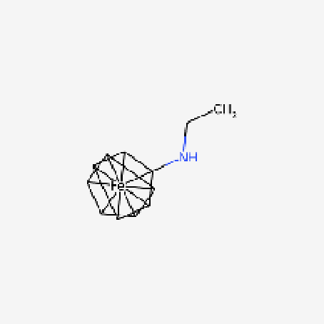 CCN[C]12[CH]3[CH]4[CH]5[CH]1[Fe]45321678[CH]2[CH]1[CH]6[CH]7[CH]28